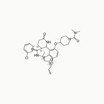 C=C/C=C(Cl)\C=C1/C[C@@]2(C(=O)N1)C(c1c(OC3CCN(C(=O)N(C)C)CC3)ccc(Cl)c1F)NC(=O)C[C@H]2C1C=CC=C(Cl)C1